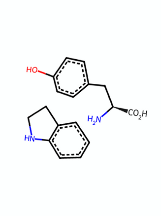 N[C@@H](Cc1ccc(O)cc1)C(=O)O.c1ccc2c(c1)CCN2